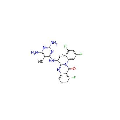 CCC[C@H](Nc1nc(N)nc(N)c1C#N)c1nc2cccc(F)c2c(=O)n1-c1cc(F)cc(F)c1